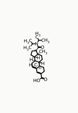 CC(C)N(C(=O)[C@@H]1CC[C@H]2[C@@H]3CC=C4C=C(C(=O)O)CC[C@]4(C)[C@H]3CC[C@]12C)C(C)C